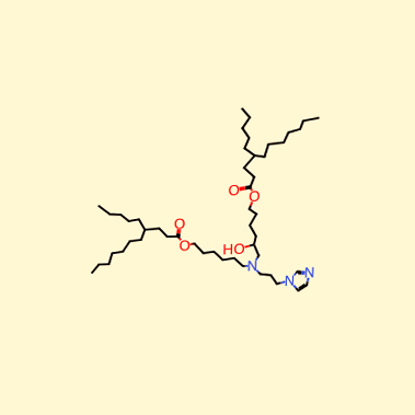 CCCCCCCC(CCCCC)CCC(=O)OCCCCCCN(CCCn1ccnc1)CC(O)CCCCOC(=O)CCC(CCCCC)CCCCCCC